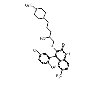 O=CN1CCN(CCCC(O)CSc2c(-c3cc(Cl)ccc3O)c3cc(C(F)(F)F)ccc3[nH]c2=O)CC1